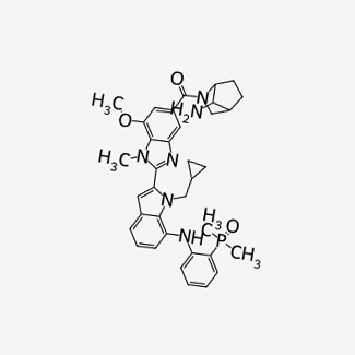 COc1cc(C(=O)N2CC3CCC2C3N)cc2nc(-c3cc4cccc(Nc5ccccc5P(C)(C)=O)c4n3CC3CC3)n(C)c12